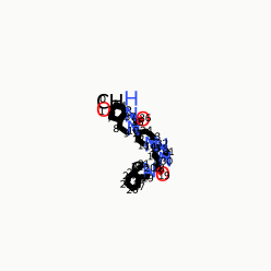 COc1ccc2c(c1)CCN(C1CCN(c3cc(C(=O)N4CCC5CCCCC5C4)ncn3)CC1)C(=O)N2